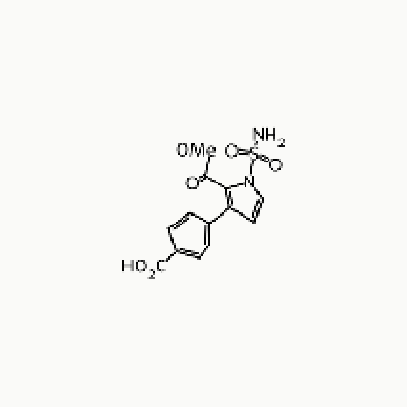 COC(=O)c1c(-c2ccc(C(=O)O)cc2)ccn1S(N)(=O)=O